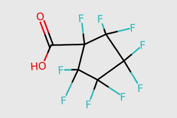 O=C(O)C1(F)C(F)(F)C(F)(F)C(F)(F)C1(F)F